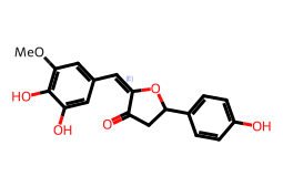 COc1cc(/C=C2/OC(c3ccc(O)cc3)CC2=O)cc(O)c1O